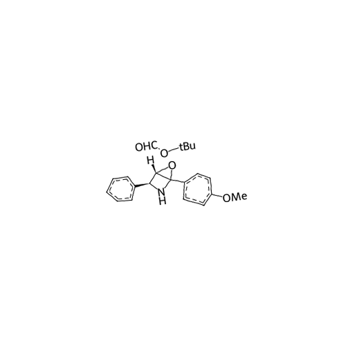 CC(C)(C)OC=O.COc1ccc(C23N[C@@H](c4ccccc4)[C@@H]2O3)cc1